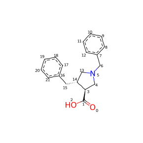 O=C(O)[C@@H]1CN(Cc2ccccc2)C[C@H]1Cc1ccccc1